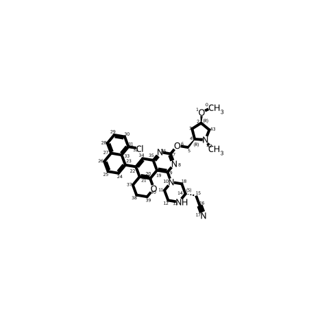 CO[C@@H]1C[C@H](COc2nc(N3CCN[C@@H](CC#N)C3)c3c4c(c(-c5cccc6cccc(Cl)c56)cc3n2)CCCO4)N(C)C1